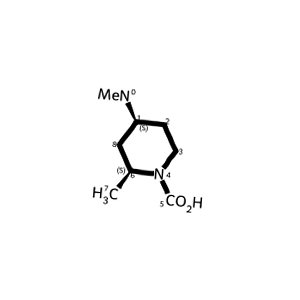 CN[C@H]1CCN(C(=O)O)[C@@H](C)C1